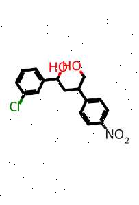 O=[N+]([O-])c1ccc(C(CO)CC(O)c2cccc(Cl)c2)cc1